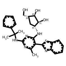 Cc1nc(NC(C)(C)c2ccccc2)nc(N[C@@H]2C[C@H](CO)[C@@H](O)[C@H]2O)c1-c1nc2ccccc2s1